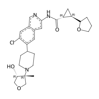 C[C@@]1(N2CCC(c3cc4cc(NC(=O)[C@@H]5C[C@H]5C5CCCO5)ncc4cc3Cl)CC2)COC[C@@H]1O